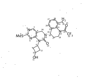 CSc1ncc2c(n1)N(C1CC(O)C1)C(=O)N([C@H]1CCN(C(=O)C(F)(F)F)c3c(C)cccc31)C2